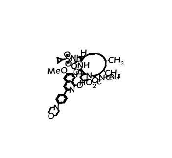 COc1ccc2c(O[C@@H]3C[C@H]4C(=O)N[C@]5(C(=O)NS(=O)(=O)C6CC6)C[C@H]5/C=C\CC[C@H](C)C[C@@H](C)[C@H](N(C(=O)O)C(C)(C)C)C(=O)N4C3)nc(-c3ccc(N4CCOCC4)cc3)cc2c1